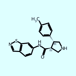 Cc1ccc([C@@H]2CNC[C@H]2C(=O)Nc2ccc3cnsc3c2)cc1